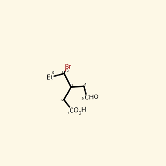 CCC(Br)C(CC=O)CC(=O)O